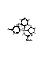 CNC(=S)O[C@@](c1ccc(F)cc1)(c1ccccc1F)C1CCCC1